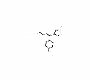 Cn1cc(/C(=C/C=C/C(=O)O)c2ccc(C(F)(F)F)cc2)cn1